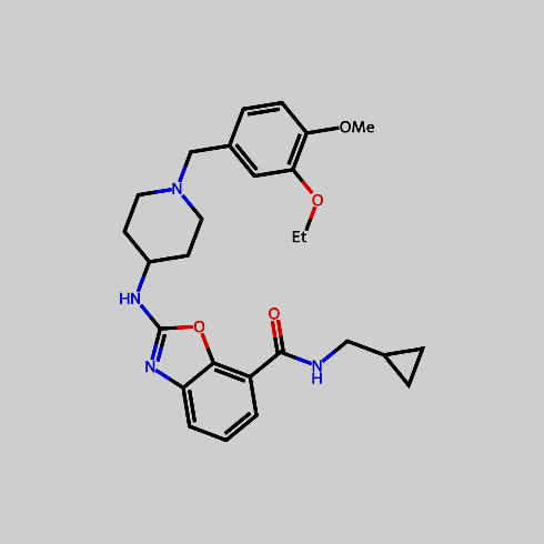 CCOc1cc(CN2CCC(Nc3nc4cccc(C(=O)NCC5CC5)c4o3)CC2)ccc1OC